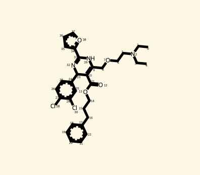 CCN(CC)CCOCC1=C(C(=O)OCCCc2ccccc2)C(c2ccc(Cl)c(Cl)c2)N=C(c2ccco2)N1